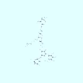 CCNC(=O)CCCCC(=O)N(CC(=O)NCCO[C@@H]1O[C@@H](C)[C@@H](O)[C@@H](O)[C@@H]1O)CC(=O)NCCO[C@H]1O[C@H](CO[C@H]2O[C@H](CO)[C@@H](O)[C@H](O)[C@@H]2O)[C@@H](C)[C@H](O[C@H]2O[C@H](CO)[C@@H](O)[C@H](O)[C@@H]2O)[C@@H]1O